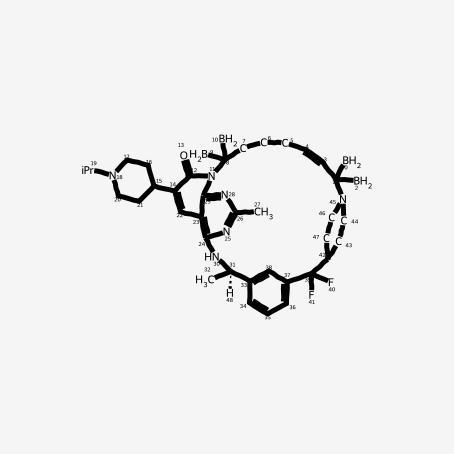 BC1(B)/C=C\CCCC(B)(B)n2c(=O)c(C3CCN(C(C)C)CC3)cc3c(nc(C)nc32)N[C@H](C)c2cccc(c2)C(F)(F)C2CCN1CC2